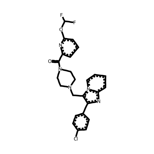 O=C(c1cccc(OC(F)F)n1)N1CCN(Cc2c(-c3ccc(Cl)cc3)nc3ccccn23)CC1